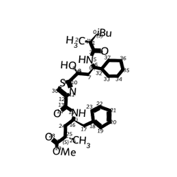 CC[C@H](C)[C@H](C)C(=O)N[C@H](C[C@@H](O)c1nc(C(=O)N[C@@H](Cc2ccccc2)C[C@H](C)C(=O)OC)cs1)C1CCCCC1